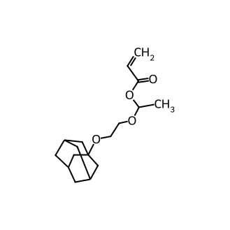 C=CC(=O)OC(C)OCCOC12CC3CC(CC(C3)C1)C2